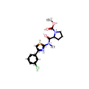 CCN(C(=O)C1CCCN1C(=O)OC(C)(C)C)c1nc(-c2cccc(Cl)c2)cs1